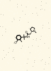 Cc1c(Cl)cccc1C(C)(C)NC(=O)C[C@H]1CCCN1C